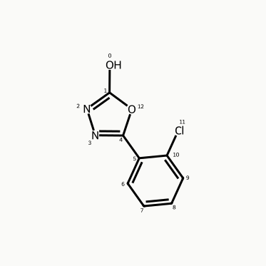 Oc1nnc(-c2ccccc2Cl)o1